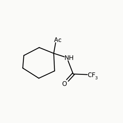 CC(=O)C1(NC(=O)C(F)(F)F)CCCCC1